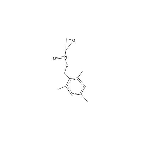 Cc1cc(C)c(CO[PH](=O)C2CO2)c(C)c1